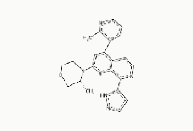 Cc1ncccc1-c1cc(N2CCOC[C@H]2C)nc2c(-c3ccn[nH]3)nccc12